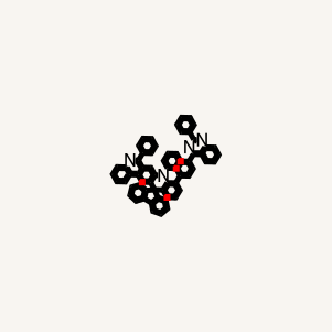 c1ccc(-c2nc(-c3ccc(-c4cccc5c4N(c4ccccc4)c4cc6c(-c7ccccc7)nc7ccccc7c6cc4C54c5ccccc5-c5ccccc54)cc3)c3ccccc3n2)cc1